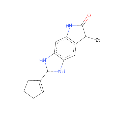 CCC1C(=O)Nc2cc3c(cc21)NC(C1=CCCC1)N3